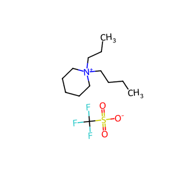 CCCC[N+]1(CCC)CCCCC1.O=S(=O)([O-])C(F)(F)F